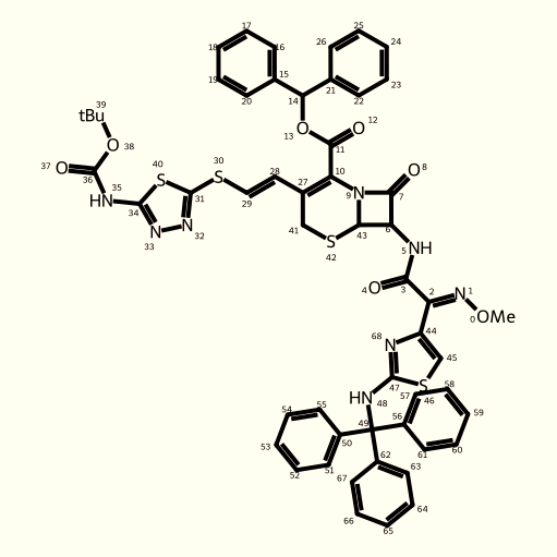 CON=C(C(=O)NC1C(=O)N2C(C(=O)OC(c3ccccc3)c3ccccc3)=C(C=CSc3nnc(NC(=O)OC(C)(C)C)s3)CSC12)c1csc(NC(c2ccccc2)(c2ccccc2)c2ccccc2)n1